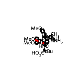 COc1ccc(CN(Cc2ccc(OC)cc2)S(=O)(=O)c2c(S(=O)(=O)NCCN(C(=O)O)C(C)(C)C)ccc(-c3ccc(C)c4[nH]c(N)nc34)c2-c2nnn(Cc3ccc(OC)cc3)n2)cc1